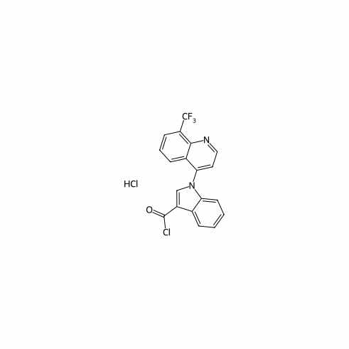 Cl.O=C(Cl)c1cn(-c2ccnc3c(C(F)(F)F)cccc23)c2ccccc12